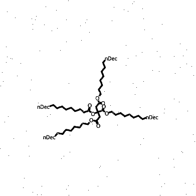 CCCCCCCCCCCCCCCCCCOC(=O)CC(CC(=O)OCCCCCCCCCCCCCCCCCC)(OC(=O)CCCCCCCCCCCCCCCCCC)C(=O)OCCCCCCCCCCCCCCCCCC